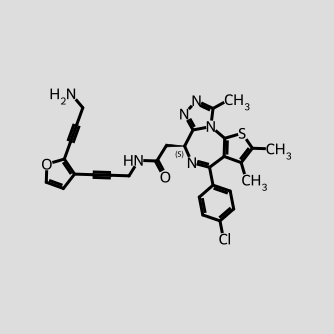 Cc1sc2c(c1C)C(c1ccc(Cl)cc1)=N[C@@H](CC(=O)NCC#Cc1ccoc1C#CCN)c1nnc(C)n1-2